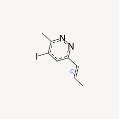 C/C=C/c1cc(I)c(C)nn1